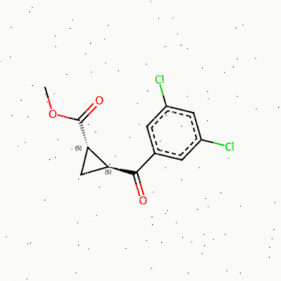 COC(=O)[C@H]1C[C@@H]1C(=O)c1cc(Cl)cc(Cl)c1